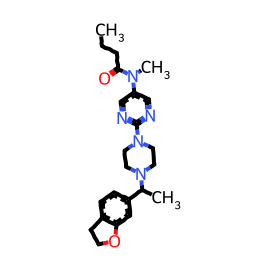 CCCC(=O)N(C)c1cnc(N2CCN(C(C)c3ccc4c(c3)OCC4)CC2)nc1